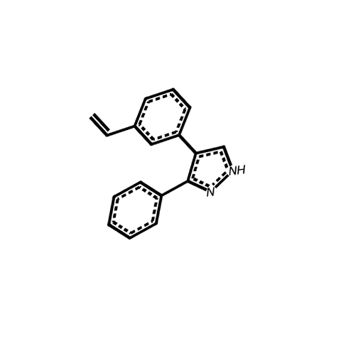 C=Cc1cccc(-c2c[nH]nc2-c2ccccc2)c1